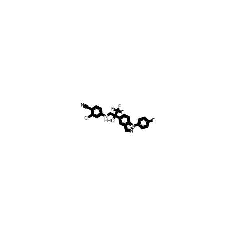 N#Cc1ccc(NCC(O)(c2ccc3c(cnn3-c3ccc(F)cc3)c2)C(F)(F)F)cc1Cl